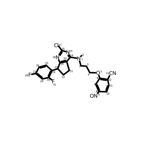 CN(CCCOc1cc(N=O)ccc1C#N)c1nc(Cl)nc2c1CCC2c1ccc(F)cc1F